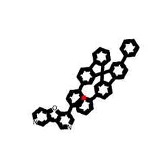 c1ccc(-c2ccc3c(c2)C2(c4ccccc4-c4ccc(-c5ccc(-c6cncc7c6oc6ccncc67)cc5)cc42)c2cc(-c4ccccc4)ccc2-3)cc1